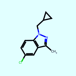 Cc1nn(CC2CC2)c2ccc(Cl)cc12